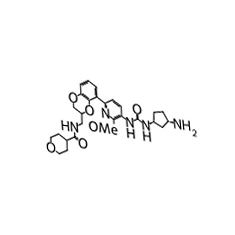 COc1nc(-c2cccc3c2OC(CNC(=O)C2CCOCC2)CO3)ccc1NC(=O)N[C@H]1CC[C@@H](N)C1